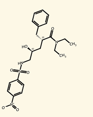 CCN(CC)C(=O)[C@@H](Cc1ccccc1)C[C@H](O)CNS(=O)(=O)c1ccc([N+](=O)[O-])cc1